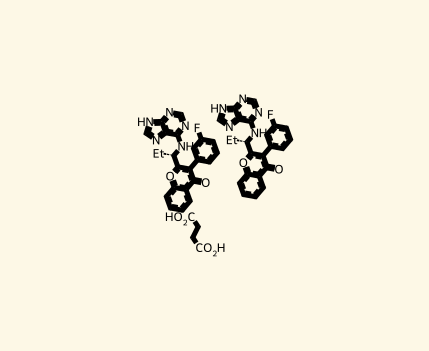 CC[C@H](Nc1ncnc2[nH]cnc12)c1oc2ccccc2c(=O)c1-c1cccc(F)c1.CC[C@H](Nc1ncnc2[nH]cnc12)c1oc2ccccc2c(=O)c1-c1cccc(F)c1.O=C(O)CCC(=O)O